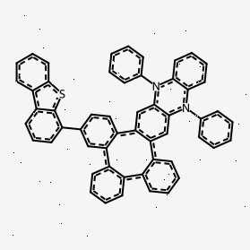 c1ccc(-n2c3ccccc3n(-c3ccccc3)c3cc4c5ccc(-c6cccc7c6sc6ccccc67)cc5c5ccccc5c5ccccc5c4cc32)cc1